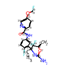 C=C1OC(N)=N[C@](C)(c2cc(NC(=O)c3ccc(OCF)cn3)ccc2F)C1(F)F